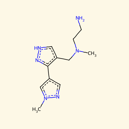 CN(CCN)Cc1c[nH]nc1-c1cnn(C)c1